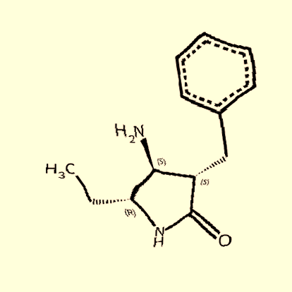 CC[C@H]1NC(=O)[C@@H](Cc2ccccc2)[C@@H]1N